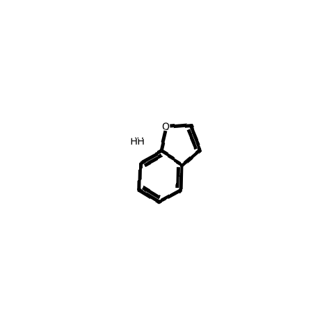 [HH].c1ccc2occc2c1